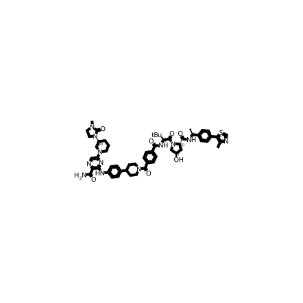 Cc1ncsc1-c1ccc([C@H](C)NC(=O)[C@@H]2C[C@@H](O)CN2C(=O)[C@@H](NC(=O)c2ccc(C(=O)N3CCC(c4ccc(Nc5nc(N6CCC[C@@H](N7CCN(C)C7=O)C6)cnc5C(N)=O)cc4)CC3)cc2)C(C)(C)C)cc1